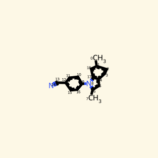 Cc1ccc2cc(C)n(-c3ccc(C#N)cc3)c2c1